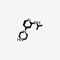 CC(C)Nc1cc(N2CCNCC2)ccn1